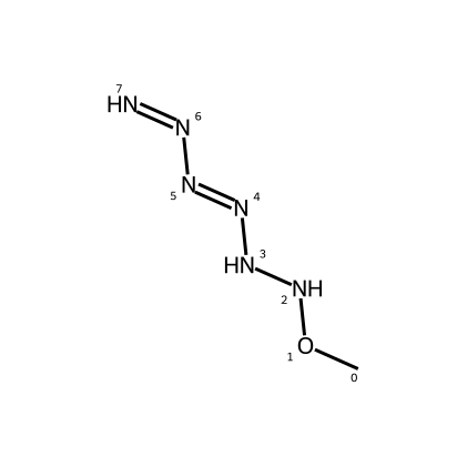 CONNN=NN=N